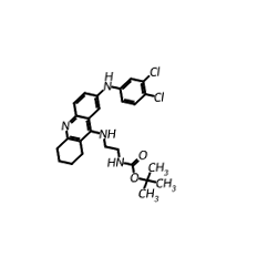 CC(C)(C)OC(=O)NCCNc1c2c(nc3ccc(Nc4ccc(Cl)c(Cl)c4)cc13)CCCC2